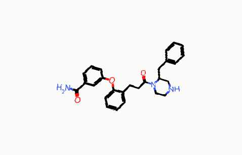 NC(=O)c1cccc(Oc2ccccc2CCC(=O)N2CCNCC2Cc2ccccc2)c1